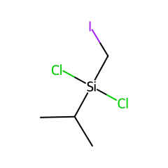 CC(C)[Si](Cl)(Cl)CI